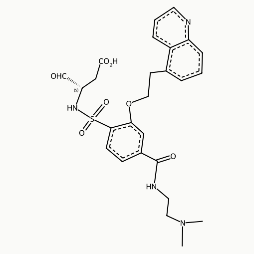 CN(C)CCNC(=O)c1ccc(S(=O)(=O)N[C@H](C=O)CC(=O)O)c(OCCc2cccc3ncccc23)c1